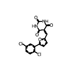 O=C1NC(=O)C(=Cc2ccc(-c3cc(Cl)ccc3Cl)o2)C(=O)N1